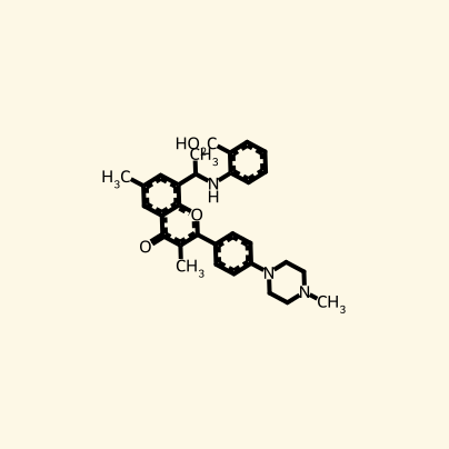 Cc1cc(C(C)Nc2ccccc2C(=O)O)c2oc(-c3ccc(N4CCN(C)CC4)cc3)c(C)c(=O)c2c1